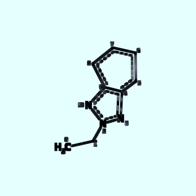 C[CH]n1nc2ccccc2n1